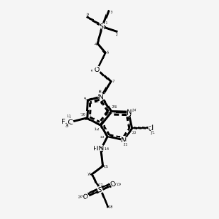 C[Si](C)(C)CCOCn1cc(C(F)(F)F)c2c(NCCS(C)(=O)=O)nc(Cl)nc21